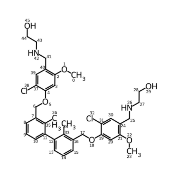 COc1cc(OCc2cccc(-c3cccc(COc4cc(OC)c(CNCCO)cc4Cl)c3C)c2C)c(Cl)cc1CNCCO